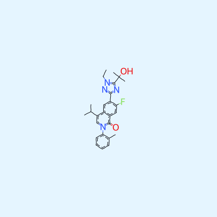 CCn1nc(-c2cc3c(C(C)C)cn(-c4ccccc4C)c(=O)c3cc2F)nc1C(C)(C)O